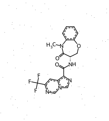 CN1C(=O)[C@@H](NC(=O)c2ncn3cnc(C(F)(F)F)cc23)COc2ccccc21